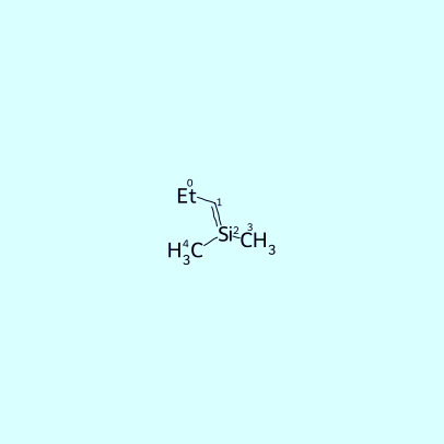 [CH2]CC=[Si](C)C